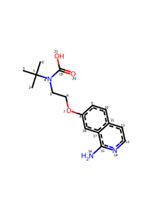 CC(C)(C)N(CCOc1ccc2ccnc(N)c2c1)C(=O)O